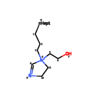 CCCCCCCCCC[N+]1(CCO)C=NCC1